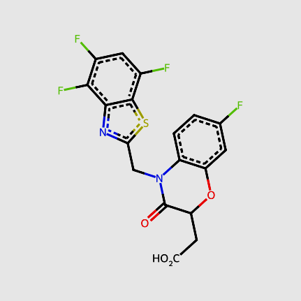 O=C(O)CC1Oc2cc(F)ccc2N(Cc2nc3c(F)c(F)cc(F)c3s2)C1=O